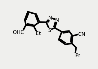 CCc1c(C=O)cccc1-c1nnc(-c2ccc(CC(C)C)c(C#N)c2)s1